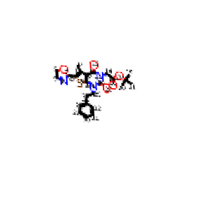 Cc1c(C2=NCCO2)sc2c1c(=O)n(CC(=O)OC(C)(C)C)c(=O)n2CCc1ccccc1